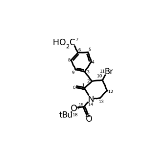 C=C1C(c2ccc(C(=O)O)cc2)C(Br)CCN1C(=O)OC(C)(C)C